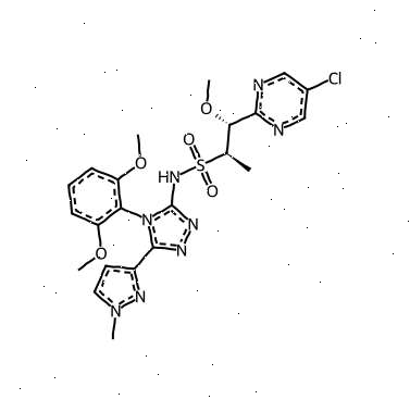 COc1cccc(OC)c1-n1c(NS(=O)(=O)[C@H](C)[C@H](OC)c2ncc(Cl)cn2)nnc1-c1ccn(C)n1